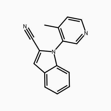 Cc1ccncc1-n1c(C#N)cc2ccccc21